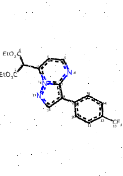 CCOC(=O)C(C(=O)OCC)c1ccnc2c(-c3ccc(C(F)(F)F)cc3)cnn12